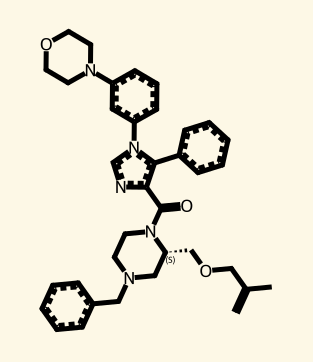 C=C(C)COC[C@@H]1CN(Cc2ccccc2)CCN1C(=O)c1ncn(-c2cccc(N3CCOCC3)c2)c1-c1ccccc1